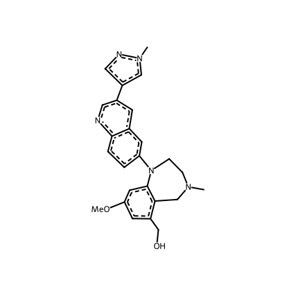 COc1cc(CO)c2c(c1)N(c1ccc3ncc(-c4cnn(C)c4)cc3c1)CCN(C)C2